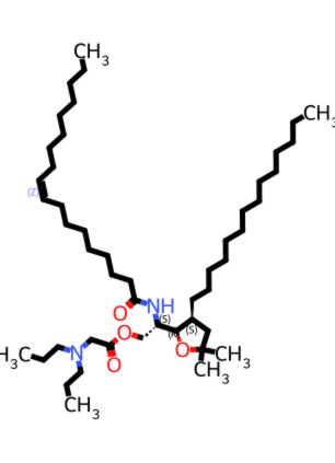 CCCCCCCC/C=C\CCCCCCCC(=O)N[C@@H](COC(=O)CN(CCC)CCC)[C@@H]1OC(C)(C)C[C@@H]1CCCCCCCCCCCCCC